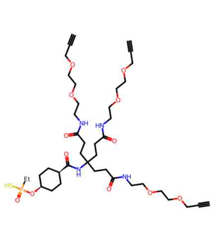 C#CCOCCOCCNC(=O)CCC(CCC(=O)NCCOCCOCC#C)(CCC(=O)NCCOCCOCC#C)NC(=O)[C@H]1CC[C@@H](OP(=O)(S)CC)CC1